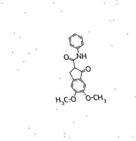 COc1cc2c(cc1OC)C(=O)C(C(=O)Nc1ccccc1)C2